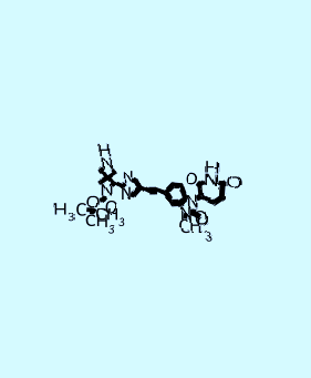 Cn1c(=O)n(C2CCC(=O)NC2=O)c2ccc(C#Cc3cnc(C4N(C(=O)OC(C)(C)C)CC45CNC5)nc3)cc21